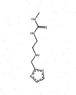 CNC(=S)NCCNCc1nccs1